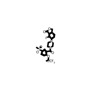 C[C@H](Oc1ccc(S(C)(=O)=O)cc1C(=O)N1CCN(c2ccc3c(c2F)C(=O)OC3)CC1)C(F)(F)F